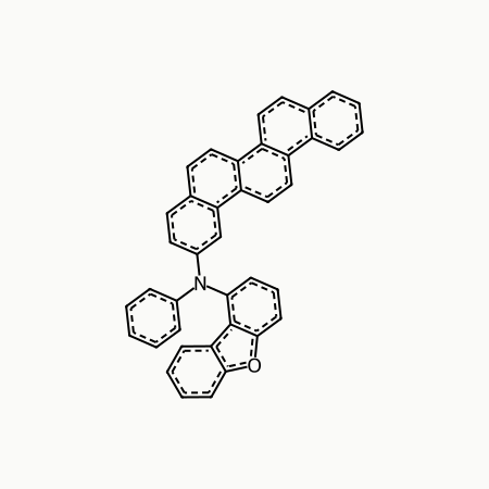 c1ccc(N(c2ccc3ccc4c(ccc5c6ccccc6ccc54)c3c2)c2cccc3oc4ccccc4c23)cc1